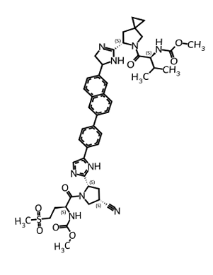 COC(=O)N[C@@H](CCS(C)(=O)=O)C(=O)N1C[C@@H](C#N)C[C@H]1c1ncc(-c2ccc(-c3ccc4cc(C5CN=C([C@@H]6CC7(CC7)CN6C(=O)[C@@H](NC(=O)OC)C(C)C)N5)ccc4c3)cc2)[nH]1